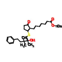 CCCCCCCCCCOC(=O)CCCCCCC1C(=O)CCC1SCC(C)(O)C(C)(C)CCc1ccccc1